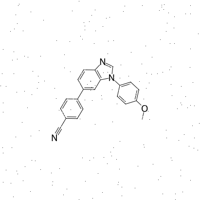 COc1ccc(-n2cnc3ccc(-c4ccc(C#N)cc4)cc32)cc1